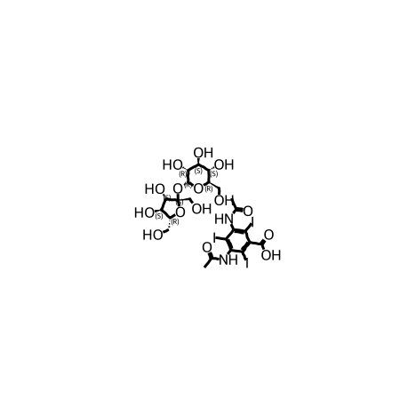 CC(=O)Nc1c(I)c(NC(C)=O)c(I)c(C(=O)O)c1I.OC[C@H]1O[C@@](CO)(O[C@H]2O[C@H](CO)[C@@H](O)[C@H](O)[C@H]2O)[C@@H](O)[C@@H]1O